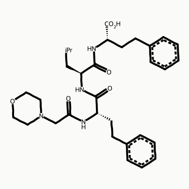 CC(C)C[C@H](NC(=O)[C@H](CCc1ccccc1)NC(=O)CN1CCOCC1)C(=O)N[C@@H](CCc1ccccc1)C(=O)O